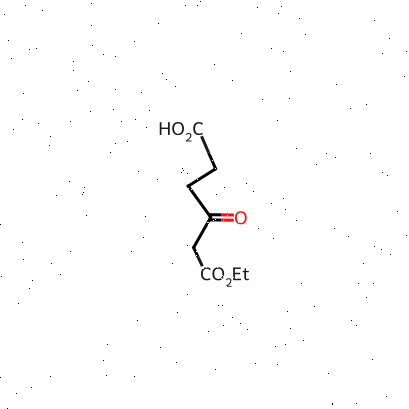 CCOC(=O)CC(=O)CCC(=O)O